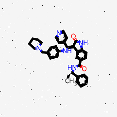 CC[C@H](NC(=O)c1ccc2c(c1)C(=C(Nc1ccc(CN3CCCCC3)cc1)c1ccncc1)C(=O)N2)c1ccccc1